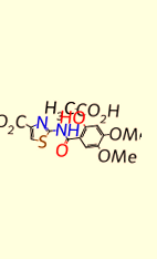 CC(=O)O.CCOC(=O)c1csc(NC(=O)c2cc(OC)c(OC)cc2O)n1